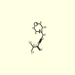 C=C(C#CCN1CCOCC1)C(C)C